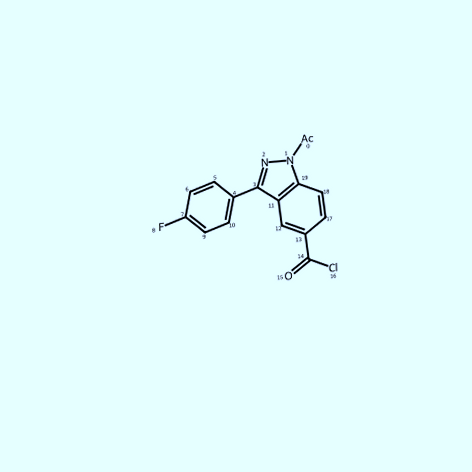 CC(=O)n1nc(-c2ccc(F)cc2)c2cc(C(=O)Cl)ccc21